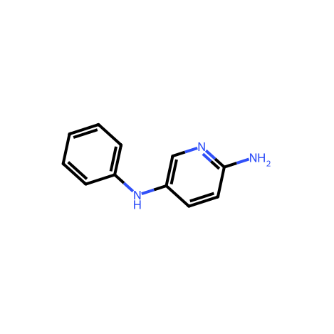 Nc1ccc(Nc2ccccc2)cn1